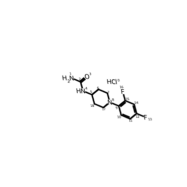 Cl.NC(=O)NC1CCN(c2ccc(F)cc2F)CC1